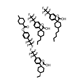 CC1CCC(C(=O)Oc2ccc(C(F)(F)C(F)(F)F)cc2)CC1.CCCC1CCC(C(=O)O)(c2ccc(C(F)(F)C(F)(F)F)cc2)CC1.CCCCCC1CCC(C(=O)O)(c2ccc(C(F)(F)C(F)(F)F)cc2)CC1.CC[C@H]1CC[C@@](C(=O)O)(c2ccc(C(F)(F)C(F)(F)F)cc2)CC1